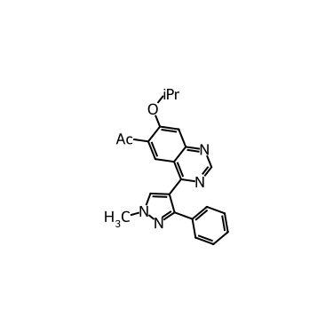 CC(=O)c1cc2c(-c3cn(C)nc3-c3ccccc3)ncnc2cc1OC(C)C